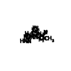 Cc1ccc2cc([C@H](C)Nc3ncnc4[nH]cnc34)c(-c3ccccn3)nc2c1C#N